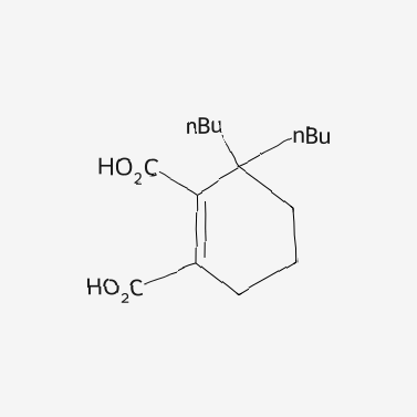 CCCCC1(CCCC)CCCC(C(=O)O)=C1C(=O)O